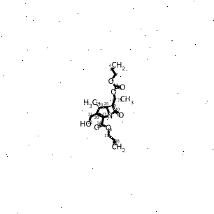 C=CCOC(=O)O[C@H](C)[C@H]1C(=O)N2C(C(=O)OCC=C)=C(CO)[C@H](C)C12